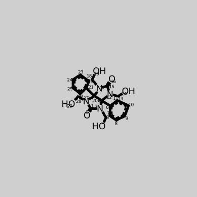 O=C1N(CO)C2(c3ccccc3)N(CO)C(=O)N(CO)C2(c2ccccc2)N1CO